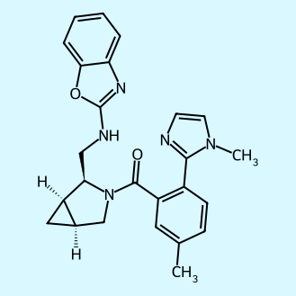 Cc1ccc(-c2nccn2C)c(C(=O)N2C[C@H]3C[C@H]3[C@H]2CNc2nc3ccccc3o2)c1